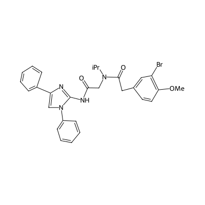 COc1ccc(CC(=O)N(CC(=O)Nc2nc(-c3ccccc3)cn2-c2ccccc2)C(C)C)cc1Br